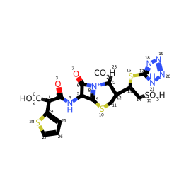 O=C(O)C(C(=O)NC1C(=O)[N+]2=C1SCC(C(CS(=O)(=O)O)Sc1nnn[nH]1)C2C(=O)O)c1cccs1